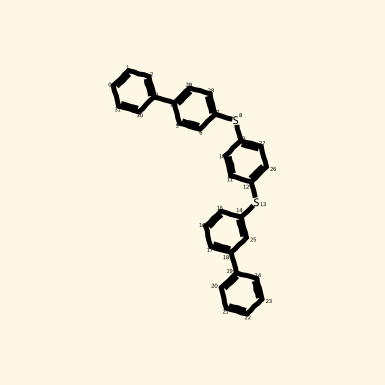 c1ccc(-c2ccc(Sc3ccc(Sc4cccc(-c5ccccc5)c4)cc3)cc2)cc1